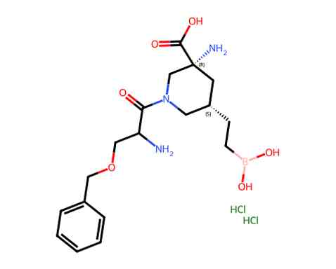 Cl.Cl.NC(COCc1ccccc1)C(=O)N1C[C@@H](CCB(O)O)C[C@](N)(C(=O)O)C1